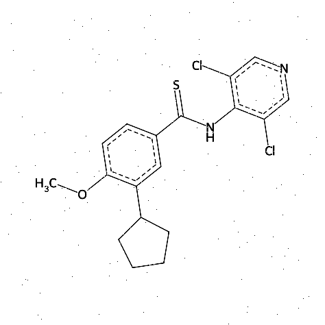 COc1ccc(C(=S)Nc2c(Cl)cncc2Cl)cc1C1CCCC1